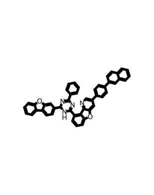 c1ccc(C2=NC(c3ccc4c(c3)oc3ccccc34)NC(c3cccc4oc5cc(-c6ccc(-c7ccc8ccccc8c7)cc6)cnc5c34)=N2)cc1